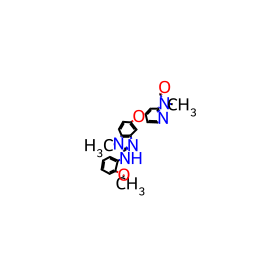 COc1ccccc1Nc1nc2cc(Oc3ccnc(N(C)C=O)c3)ccc2n1C